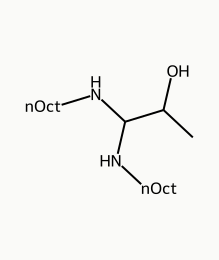 CCCCCCCCNC(NCCCCCCCC)C(C)O